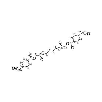 O=C=Nc1ccc(C(=O)OCC(=O)OCCCCOC(=O)COC(=O)c2ccc(N=C=O)cc2)cc1